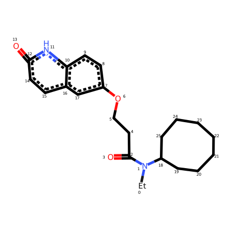 CCN(C(=O)CCOc1ccc2[nH]c(=O)ccc2c1)C1CCCCCCC1